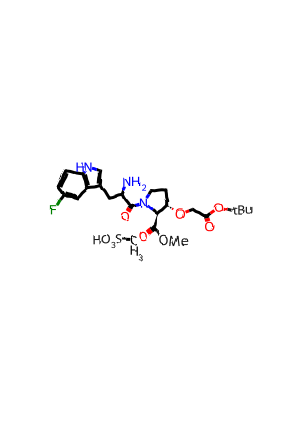 COC(=O)[C@@H]1[C@@H](OCC(=O)OC(C)(C)C)CCN1C(=O)C(N)Cc1c[nH]c2ccc(F)cc12.CS(=O)(=O)O